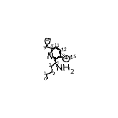 CCCC[C@H](N)c1nc(C=O)ccc1OC